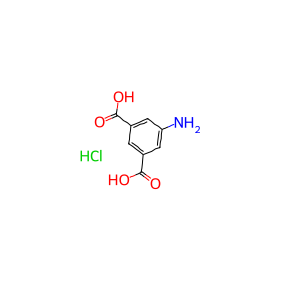 Cl.Nc1cc(C(=O)O)cc(C(=O)O)c1